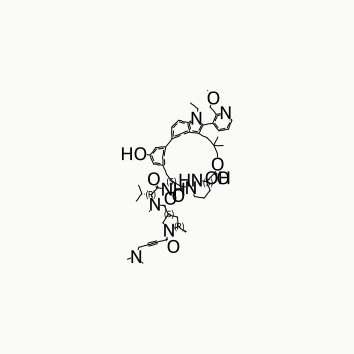 CCn1c(-c2cccnc2COC)c2c3cc(ccc31)-c1cc(O)cc(c1)C[C@H](NC(=O)[C@@H](C(C)C)N(C)C(=O)[C@H]1C[C@@H](C)N(C(=O)C#CCN(C)C)C1)C(=O)N1CCC[C@@](O)(N1)C(=O)OCC(C)(C)C2